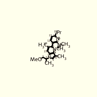 COCC(C)n1cc(C)c2nc(-c3ccc(C(C)C)nc3N(C)C)c(C)cc21